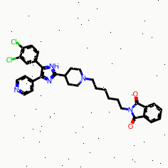 O=C1c2ccccc2C(=O)N1CCCCCCN1CCC(c2nc(-c3ccncc3)c(-c3ccc(Cl)c(Cl)c3)[nH]2)CC1